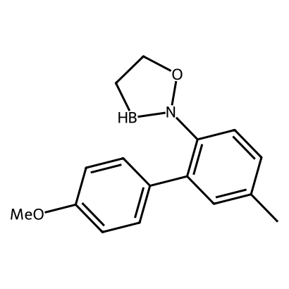 COc1ccc(-c2cc(C)ccc2N2BCCO2)cc1